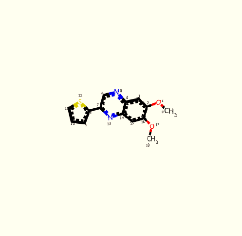 COc1cc2n[c]c(-c3cccs3)nc2cc1OC